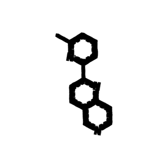 Cc1cccc(-c2ccc3cnccc3n2)n1